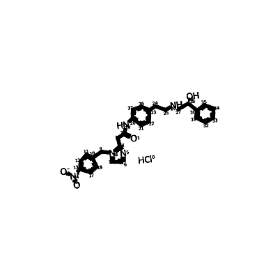 Cl.O=C(Cc1nccn1Cc1ccc([N+](=O)[O-])cc1)Nc1ccc(CCNC[C@H](O)c2ccccc2)cc1